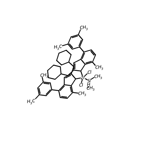 Cc1cc(C)cc(-c2ccc(C)c3c2C=C(CC2CCCCC2)[CH]3[Zr]([Cl])([Cl])([CH]2C(CC3CCCCC3)=Cc3c(-c4cc(C)cc(C)c4)ccc(C)c32)[SiH](C)C)c1